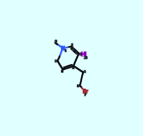 CN1C=CC(CCBr)=CC1.I